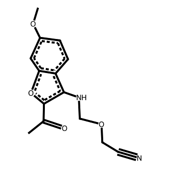 COc1ccc2c(NCOCC#N)c(C(C)=O)oc2c1